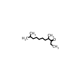 CCC(=O)C(C)CCCCCC(C)C